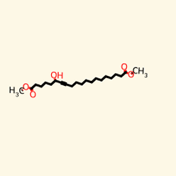 COC(=O)CCCCCCCCCCCC#CC(O)CCCCC(=O)OC